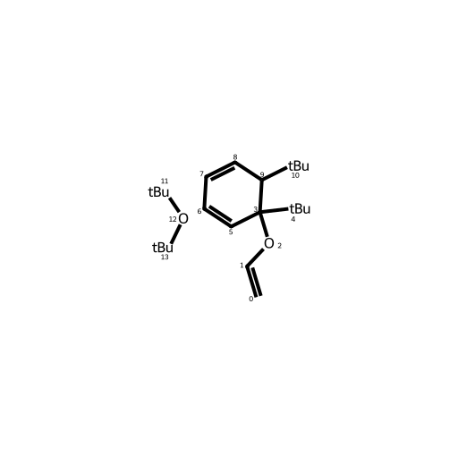 C=COC1(C(C)(C)C)C=CC=CC1C(C)(C)C.CC(C)(C)OC(C)(C)C